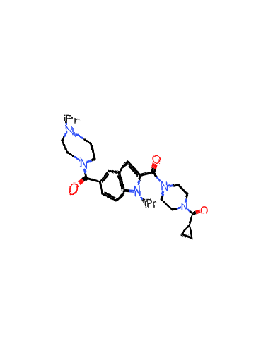 CC(C)N1CCN(C(=O)c2ccc3c(c2)cc(C(=O)N2CCN(C(=O)C4CC4)CC2)n3C(C)C)CC1